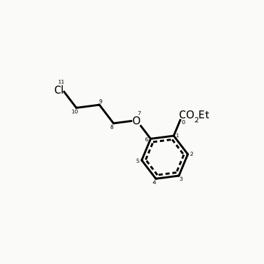 CCOC(=O)c1ccccc1OCCCCl